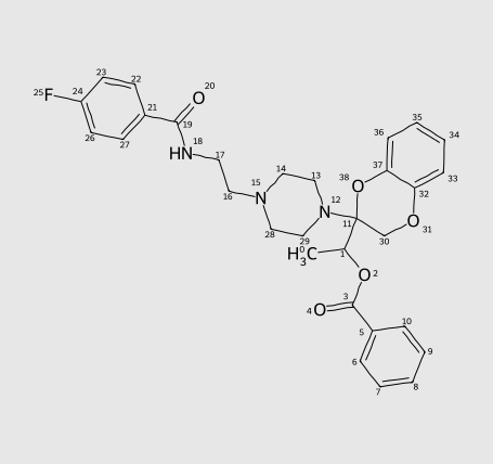 CC(OC(=O)c1ccccc1)C1(N2CCN(CCNC(=O)c3ccc(F)cc3)CC2)COc2ccccc2O1